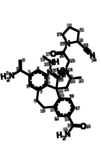 C=C(N)c1ccc2c(c1)CCc1cc(C(N)=O)ccc1C2(C[C@H](C)NCC(=O)N1CCCC1C#N)/C(N)=N/NC